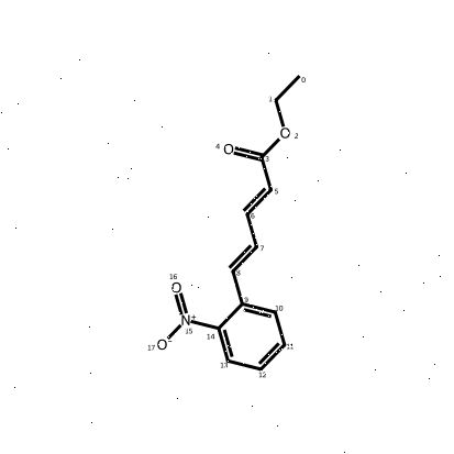 CCOC(=O)C=CC=Cc1ccccc1[N+](=O)[O-]